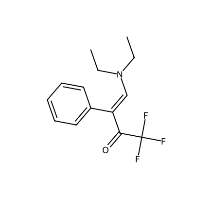 CCN(/C=C(/C(=O)C(F)(F)F)c1ccccc1)CC